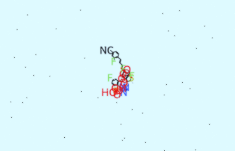 C[C@@H](S[C@H]1CO[C@H](/C=C/C=C/c2ccc(C#N)cc2F)OC1)[C@@](Cn1cncn1)(OC(=O)c1cc(F)ccc1COP(=O)(O)O)c1ccc(F)cc1F